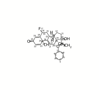 C=C(Oc1ccccc1)[C@@]1(O)CC[C@H]2[C@@H]3C[C@H](F)C4=CC(=O)C=C[C@]4(C)C3=CC[C@@]21C